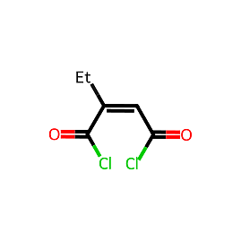 CC/C(=C/C(=O)Cl)C(=O)Cl